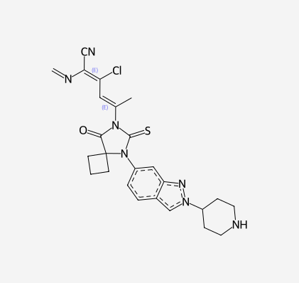 C=N/C(C#N)=C(Cl)\C=C(/C)N1C(=O)C2(CCC2)N(c2ccc3cn(C4CCNCC4)nc3c2)C1=S